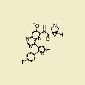 COc1cc2ncnc(-c3cn(C)nc3-c3ccc(F)cc3)c2nc1NC(=O)[C@@]12C[C@@H]1CN(C)C2